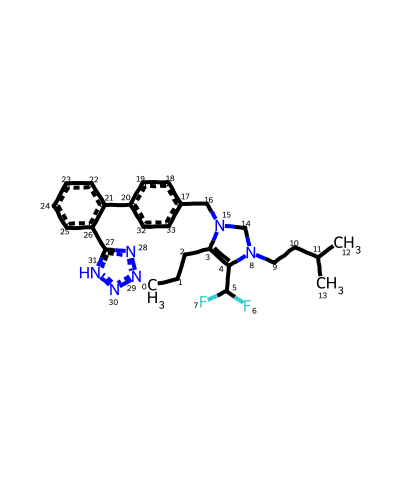 CCCC1=C(C(F)F)N(CCC(C)C)CN1Cc1ccc(-c2ccccc2-c2nnn[nH]2)cc1